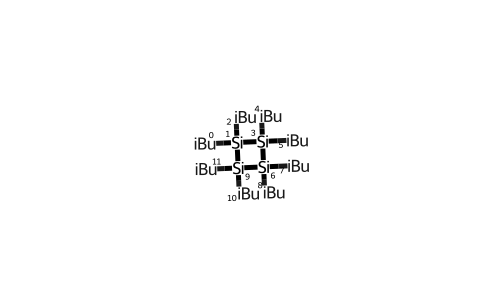 CCC(C)[Si]1(C(C)CC)[Si](C(C)CC)(C(C)CC)[Si](C(C)CC)(C(C)CC)[Si]1(C(C)CC)C(C)CC